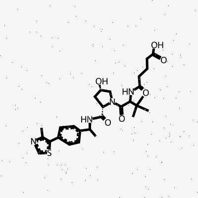 Cc1ncsc1-c1ccc(C(C)NC(=O)[C@@H]2C[C@@H](O)CN2C(=O)C(NC(=O)CCCC(=O)O)C(C)(C)C)cc1